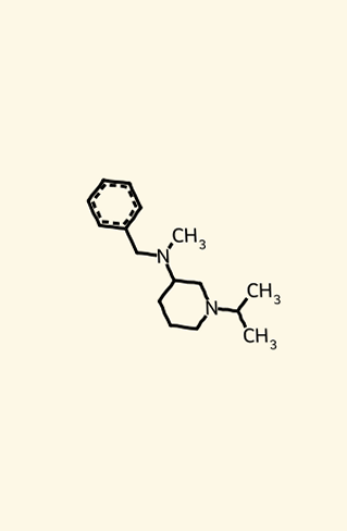 CC(C)N1CCCC(N(C)Cc2ccccc2)C1